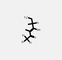 CCC(CC)(CC)C(=O)/C(C)=C(\O)C(C)(CC)CC(F)(F)F